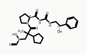 CC(CN(O)C=O)(C(=O)N1CCC[C@H]1C(=O)NC(=O)NC[C@@H](O)c1ccccc1)C1CCCC1